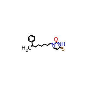 C=C(CCCCCCn1ccc(=S)[nH]c1=O)c1ccccc1